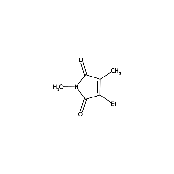 CCC1=C(C)C(=O)N(C)C1=O